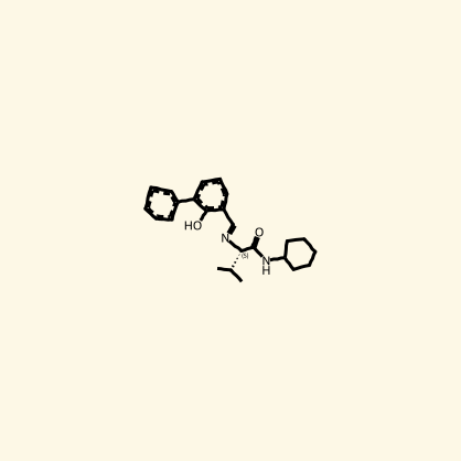 CC(C)[C@H](N=Cc1cccc(-c2ccccc2)c1O)C(=O)NC1CCCCC1